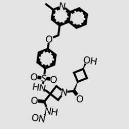 Cc1cc(COc2ccc(S(=O)(=O)NC3(C(=O)NN=O)CN(C(=O)[C@H]4C[C@@H](O)C4)C3)cc2)c2ccccc2n1